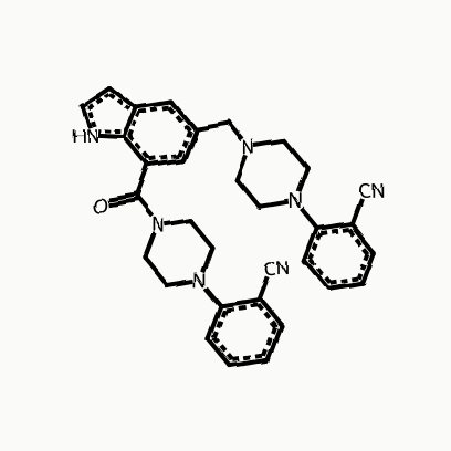 N#Cc1ccccc1N1CCN(Cc2cc(C(=O)N3CCN(c4ccccc4C#N)CC3)c3[nH]ccc3c2)CC1